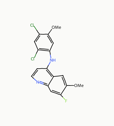 COc1cc2c(Nc3cc(OC)c(Cl)cc3Cl)ccnc2cc1F